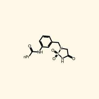 CCCC(=O)Nc1cccc(CN2CC(=O)NS2(=O)=O)c1